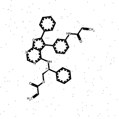 C=CC(=O)Nc1cccc(-c2c(-c3ccccc3)oc3ncnc(N[C@H](COC(=O)C=C)c4ccccc4)c23)c1